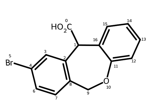 O=C(O)C1c2cc(Br)ccc2COc2ccccc21